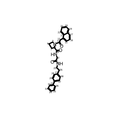 O=C(CNC(=O)C1CCCN1C(=O)Cc1cccc2ccccc12)NCCc1ccc(-c2ccccc2)cc1